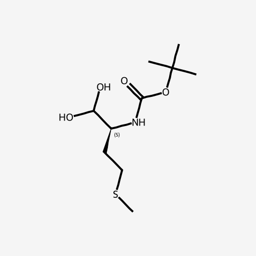 CSCC[C@H](NC(=O)OC(C)(C)C)C(O)O